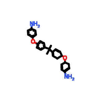 CC(C)(C1=CCC(OC2C=CC(N)=CC2)C=C1)c1ccc(Oc2ccc(N)cc2)cc1